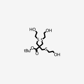 CC(C)(C)OC(=O)C(CSCCO)(CSCCO)CSCCO